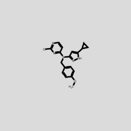 COc1ccc(CN(c2cc(C3CC3)[nH]n2)c2ccnc(Cl)n2)cc1